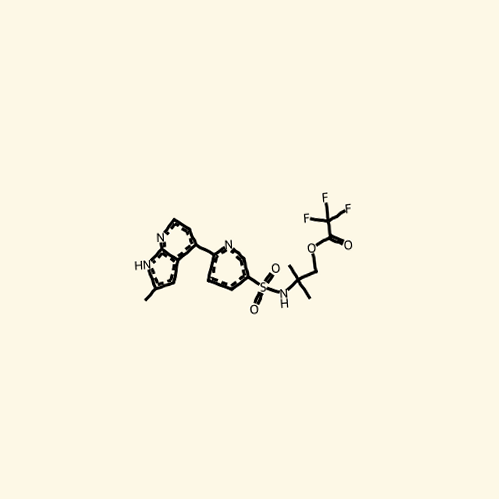 Cc1cc2c(-c3ccc(S(=O)(=O)NC(C)(C)COC(=O)C(F)(F)F)cn3)ccnc2[nH]1